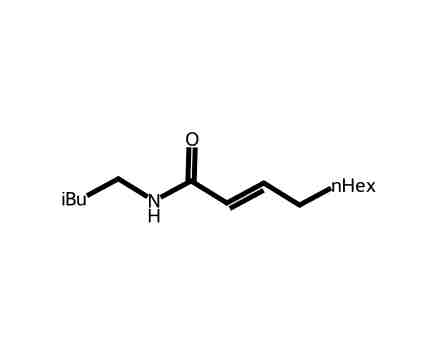 CCCCCCCC=CC(=O)NCC(C)CC